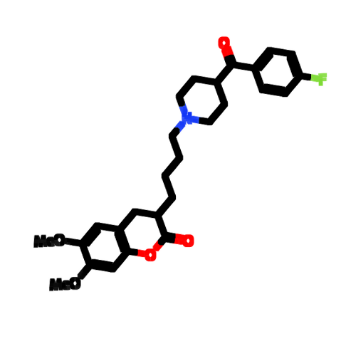 COc1cc2c(cc1OC)OC(=O)C(CCCCN1CCC(C(=O)c3ccc(F)cc3)CC1)C2